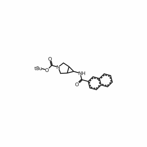 CC(C)(C)OC(=O)N1CC2C(C1)C2NC(=O)c1ccc2ccccc2c1